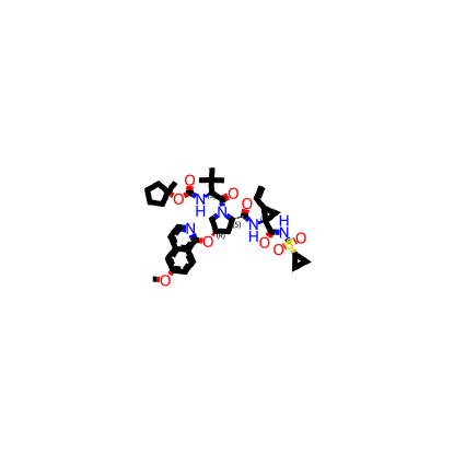 C=CC1C[C@]1(NC(=O)[C@@H]1C[C@@H](Oc2nccc3cc(OC)ccc23)CN1C(=O)[C@@H](NC(=O)OC1(C)CCCC1)C(C)(C)C)C(=O)NS(=O)(=O)C1CC1